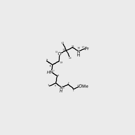 COCCNC(C)CNC(C)COC(C)(C)CNC(C)C